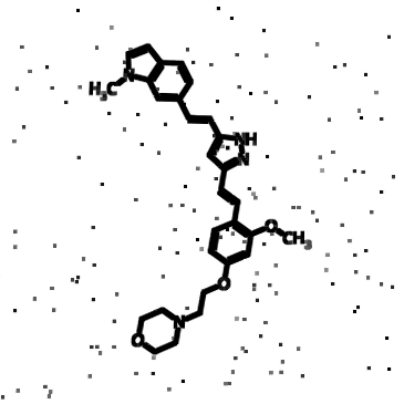 COc1cc(OCCN2CCOCC2)ccc1/C=C/c1cc(/C=C/c2ccc3ccn(C)c3c2)[nH]n1